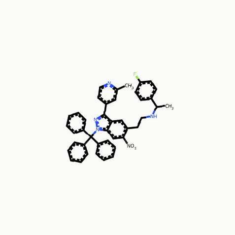 Cc1cc(-c2nn(C(c3ccccc3)(c3ccccc3)c3ccccc3)c3cc([N+](=O)[O-])c(CCNC(C)c4ccc(F)cc4)cc23)ccn1